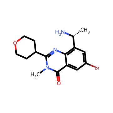 C[C@@H](N)c1cc(Br)cc2c(=O)n(C)c(C3CCOCC3)nc12